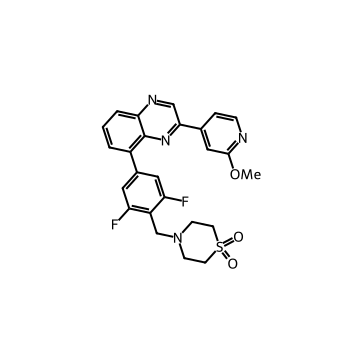 COc1cc(-c2cnc3cccc(-c4cc(F)c(CN5CCS(=O)(=O)CC5)c(F)c4)c3n2)ccn1